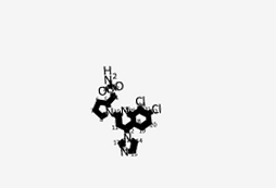 NS(=O)(=O)CC1CCCN1c1cc(-n2ccnc2)c2ccc(Cl)c(Cl)c2n1